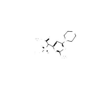 COC(=O)C(c1cc(N2CCOCC2)nc(SC)n1)S(C)(=O)=O